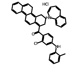 C1=CNc2ccccc2C=C1.Cc1ccccc1Nc1ccc(C(=O)C2=c3ccc4c(c3CCC2)CC=c2ccccc2=4)c(Cl)c1.Cl